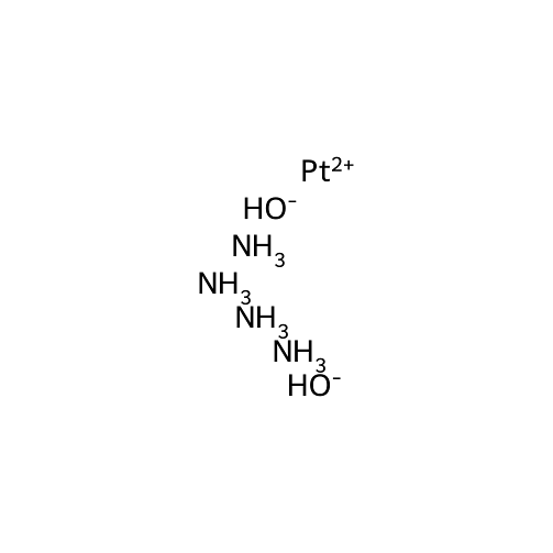 N.N.N.N.[OH-].[OH-].[Pt+2]